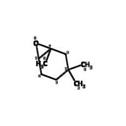 CC1(C)CCC2OC2(C)C1